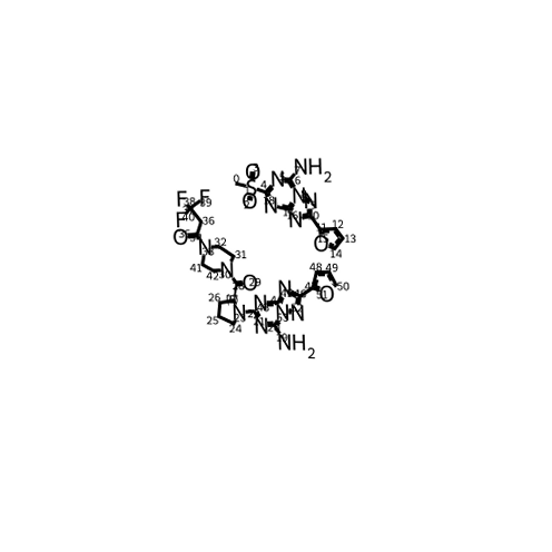 CS(=O)(=O)c1nc(N)n2nc(-c3ccco3)nc2n1.Nc1nc(N2CCC[C@H]2C(=O)N2CCN(C(=O)CC(F)(F)F)CC2)nc2nc(-c3ccco3)nn12